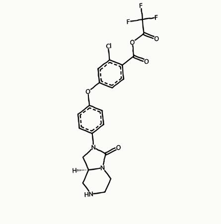 O=C(OC(=O)C(F)(F)F)c1ccc(Oc2ccc(N3C[C@@H]4CNCCN4C3=O)cc2)cc1Cl